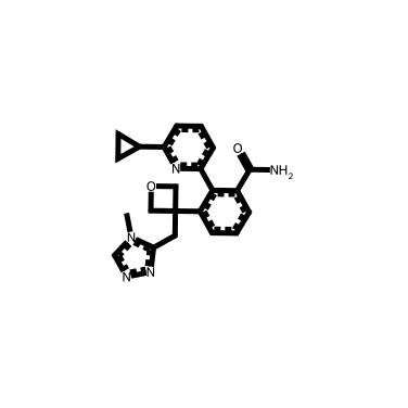 Cn1cnnc1CC1(c2cccc(C(N)=O)c2-c2cccc(C3CC3)n2)COC1